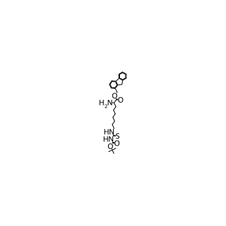 CC(C)(C)OC(=O)NC(=S)NCCCCCCCC(N)C(=O)OCc1cccc2c1Cc1ccccc1-2